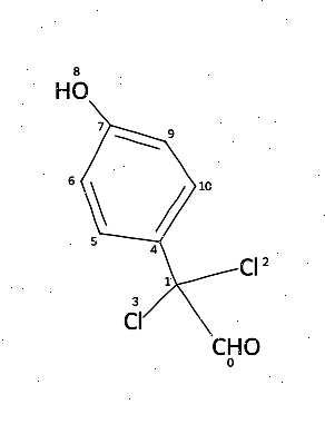 O=CC(Cl)(Cl)c1ccc(O)cc1